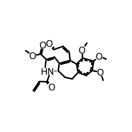 C=CC(=O)N[C@H]1CCc2cc(OC)c(OC)c(OC)c2C(/C=C\C=O)=C1/C=C(\C)C(=O)OC